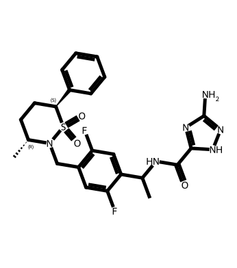 CC(NC(=O)c1nc(N)n[nH]1)c1cc(F)c(CN2[C@H](C)CC[C@@H](c3ccccc3)S2(=O)=O)cc1F